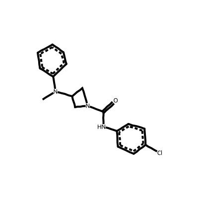 CN(c1ccccc1)C1CN(C(=O)Nc2ccc(Cl)cc2)C1